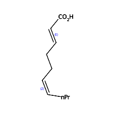 CCC/C=C\CC/C=C/C(=O)O